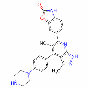 Cc1n[nH]c2nc(-c3ccc4[nH]c(=O)oc4c3)c(C#N)c(-c3ccc(N4CCNCC4)cc3)c12